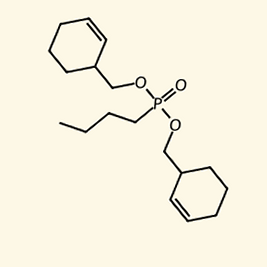 CCCCP(=O)(OCC1C=CCCC1)OCC1C=CCCC1